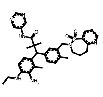 CCNc1ccc(C(c2ccc(C)c(CN3CCCc4ncccc4S3(=O)=O)c2)C(C)(C)C(=O)Nc2cncnc2)c(C)c1N